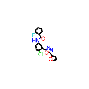 O=C(Nc1ccc(Cl)c(-c2nnc(-c3ccco3)o2)c1)c1ccccc1F